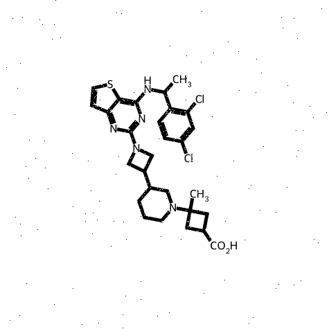 CC(Nc1nc(N2CC(C3CCCN(C4(C)CC(C(=O)O)C4)C3)C2)nc2ccsc12)c1ccc(Cl)cc1Cl